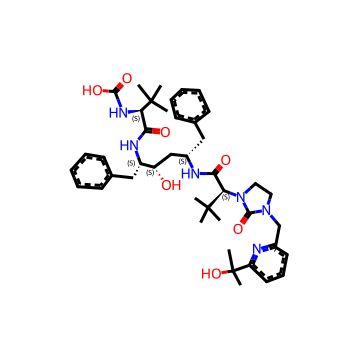 CC(C)(O)c1cccc(CN2CCN([C@H](C(=O)N[C@@H](Cc3ccccc3)C[C@H](O)[C@H](Cc3ccccc3)NC(=O)[C@@H](NC(=O)O)C(C)(C)C)C(C)(C)C)C2=O)n1